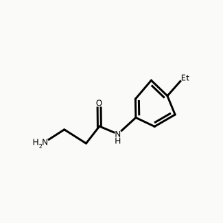 CCc1ccc(NC(=O)CCN)cc1